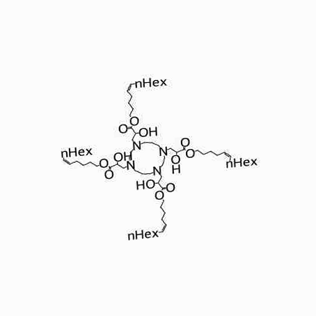 CCCCCC/C=C\CCCCOC(=O)C(O)CN1CCCN(CC(O)C(=O)OCCCC/C=C\CCCCCC)CCN(CC(O)C(=O)OCCCC/C=C\CCCCCC)CCCN(CC(O)C(=O)OCCCC/C=C\CCCCCC)CC1